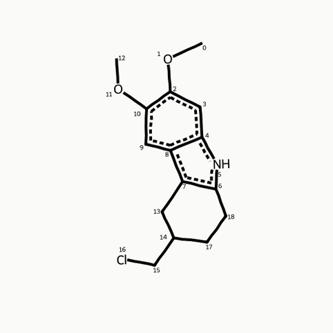 COc1cc2[nH]c3c(c2cc1OC)CC(CCl)CC3